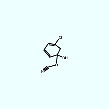 N#COC1(O)C=CC=C(Cl)C1